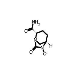 NC(=O)[C@@H]1CC[C@@H]2CN1C(=O)N2[O]